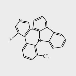 Fc1cncc(F)c1-c1cccc(C(F)(F)F)c1-n1c2ccccc2c2ccccc21